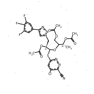 CC(=O)OCC(OC(Sc1cc(Cl)c(C#N)nn1)[C@H](Cn1cc(-c2cc(F)c(F)c(F)c2)nn1)OC(C)=O)[C@@H](C)OC(C)=O